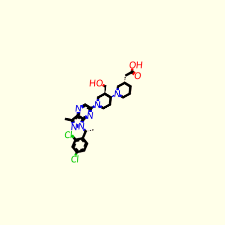 Cc1nn([C@H](C)c2ccc(Cl)cc2Cl)c2nc(N3CC[C@H](N4CCC[C@@H](CC(=O)O)C4)[C@H](CO)C3)cnc12